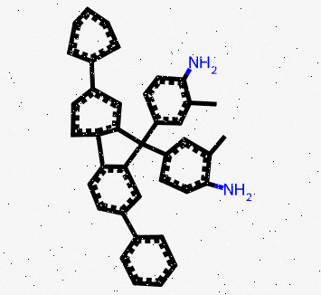 Cc1cc(C2(c3ccc(N)c(C)c3)c3cc(-c4ccccc4)ccc3-c3ccc(-c4ccccc4)cc32)ccc1N